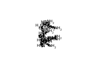 C[C@H](NC(=O)[C@@H](NC(=O)[C@@H](N)CCCCN)[C@@H](O)CN)C(=O)NCC(=O)N[C@H](CCCN)C(=O)N1CCC[C@H]1C(=O)N[C@@H](Cc1cnc[nH]1)C(=O)N[C@@H](CCCN)C(=O)N[C@H](CCCNC(=N)N)C(N)=O